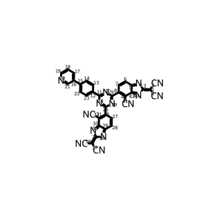 N#CC(C#N)=C1N=c2ccc(-c3nc(-c4ccc(-c5cccnc5)cc4)nc(-c4ccc5c(c4C#N)=NC(=C(C#N)C#N)N=5)n3)c(C#N)c2=N1